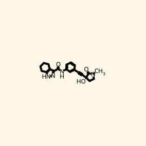 CN1CC[C@@](O)(C#Cc2cccc(NC(=O)c3n[nH]c4c3CCCC4)c2)C1=O